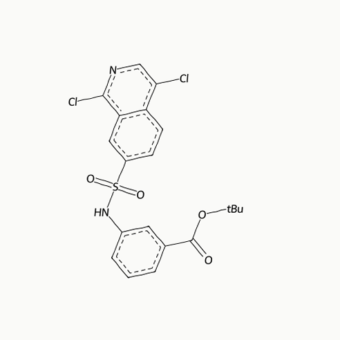 CC(C)(C)OC(=O)c1cccc(NS(=O)(=O)c2ccc3c(Cl)cnc(Cl)c3c2)c1